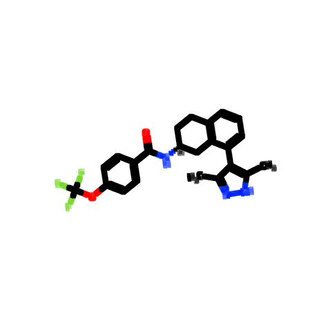 Cc1n[nH]c(C)c1-c1cccc2c1C[C@H](NC(=O)c1ccc(OC(F)(F)F)cc1)CC2